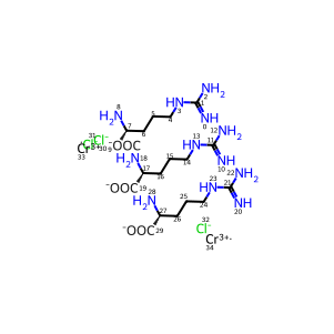 N=C(N)NCCC[C@H](N)C(=O)[O-].N=C(N)NCCC[C@H](N)C(=O)[O-].N=C(N)NCCC[C@H](N)C(=O)[O-].[Cl-].[Cl-].[Cl-].[Cr+3].[Cr+3]